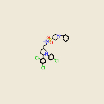 O=S(=O)(NCCC1CC[C@@H](c2ccc(Cl)cc2Cl)N(c2ccc(Cl)cc2)C1)C1CCN(Cc2ccccc2)CC1